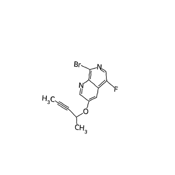 CC#CC(C)Oc1cnc2c(Br)ncc(F)c2c1